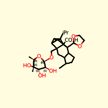 CC(C)C1=CC2CC3(C4OCCO4)C4CCC(C)C4CC2(CO[C@@H]2O[C@H](C)[C@@](C)(O)[C@@H](O)[C@@H]2O)C13C(=O)O